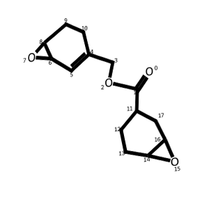 O=C(OCC1=CC2OC2CC1)C1CCC2OC2C1